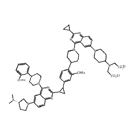 CCOC(=O)CN(CC(=O)OCC)C1CCN(c2ccc3nc(C4CC4)nc(N4CCC(c5ccc(C6CC6c6nc(N7CCC(c8ccccc8OC)CC7)c7cc(N8CC[C@H](N(C)C)C8)ccc7n6)cc5OC)CC4)c3c2)CC1